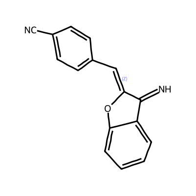 N#Cc1ccc(/C=C2\Oc3ccccc3C2=N)cc1